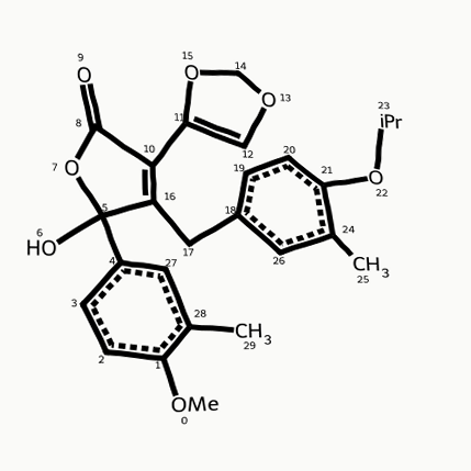 COc1ccc(C2(O)OC(=O)C(C3=COCO3)=C2Cc2ccc(OC(C)C)c(C)c2)cc1C